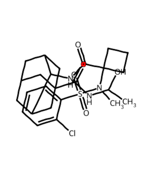 CC(O)NC(=O)C12CC3CC(C1)C(NC(=O)C1(N(C)S(=O)(=O)c4ccccc4Cl)CCC1)C(C3)C2